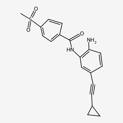 CS(=O)(=O)c1ccc(C(=O)Nc2cc(C#CC3CC3)ccc2N)cc1